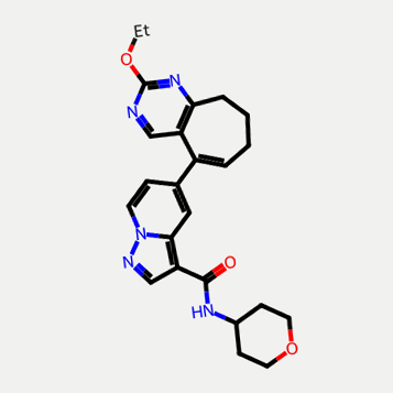 CCOc1ncc2c(n1)CCCC=C2c1ccn2ncc(C(=O)NC3CCOCC3)c2c1